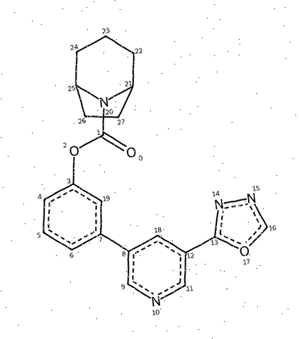 O=C(Oc1cccc(-c2cncc(-c3nnco3)c2)c1)N1C2CCCC1CC2